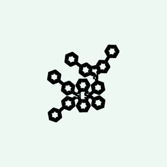 c1ccc(-c2ccc([Si]3(c4ccc(-c5ccccc5)cc4)c4ccccc4[Si](c4ccccc4)(c4cccc(-n5c6ccc(-c7ccccc7)cc6c6cc(-c7ccccc7)ccc65)c4)c4ccccc43)cc2)cc1